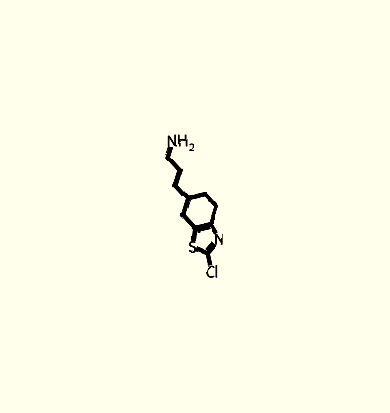 NCCCC1CCc2nc(Cl)sc2C1